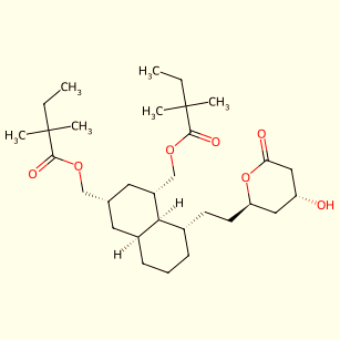 CCC(C)(C)C(=O)OC[C@H]1C[C@@H]2CCC[C@@H](CC[C@@H]3C[C@@H](O)CC(=O)O3)[C@@H]2[C@@H](COC(=O)C(C)(C)CC)C1